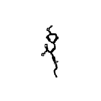 CCC[N+]#CC(=Cc1ccc(OC)cc1)C(=O)[O-]